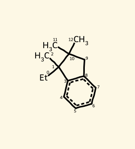 CCC1(C)c2ccccc2CC1(C)C